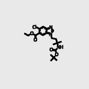 CCOC(=O)c1cc2c(cc1Cl)ncn2CCC(C)(C)NC(=O)OC(C)(C)C